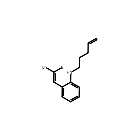 C=CCCCNc1ccccc1C=C(Br)Br